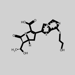 C[C@@H](O)[C@H]1C(=O)N2C(C(=O)O)=C(c3cn4cnc(SCCO)c4s3)C[C@H]12